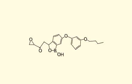 CCCCOc1cccc(Oc2ccc3c(c2)B(O)OC3CC(=O)C2CO2)c1